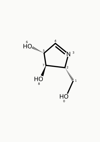 OC[C@H]1N=C[C@@H](O)[C@@H]1O